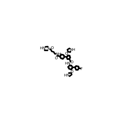 O=C(NCCCC(=O)N1CCNCC1)c1ccc(-c2cc(C(=O)Nc3ccc(O[C@H]4CCNC4)c(-c4ccc(F)cc4)c3)ccc2O[C@H]2CCNC2)cc1